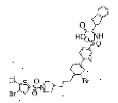 O=C(O)C(NS(=O)(=O)c1ccc(N2CCC(CCCC3CCN(S(=O)(=O)c4cc(Br)c(Cl)s4)CC3)C(Br)C2)nc1)C1Cc2ccccc2C1